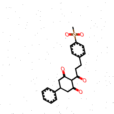 CS(=O)(=O)c1ccc(CCC(=O)C2C(=O)CC(c3ccccc3)CC2=O)cc1